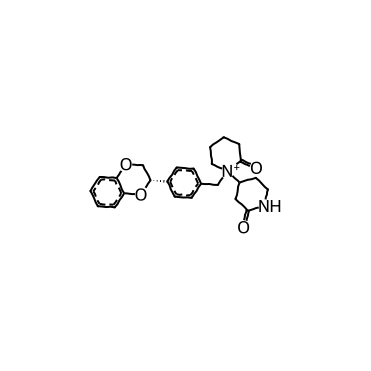 O=C1CC([N+]2(Cc3ccc([C@H]4COc5ccccc5O4)cc3)CCCCC2=O)CCN1